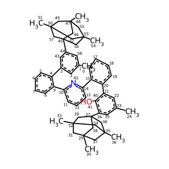 Cc1cc(-c2ccccc2-c2cccc(-c3ccccc3-c3cc(C)cc(C45CC6(C)CC(C)(CC(C)(C6)C4)C5)c3O)n2)cc(C23CC4(C)CC(C)(CC(C)(C4)C2)C3)c1